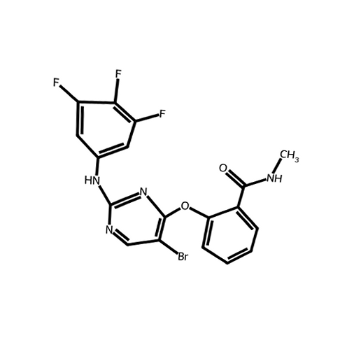 CNC(=O)c1ccccc1Oc1nc(Nc2cc(F)c(F)c(F)c2)ncc1Br